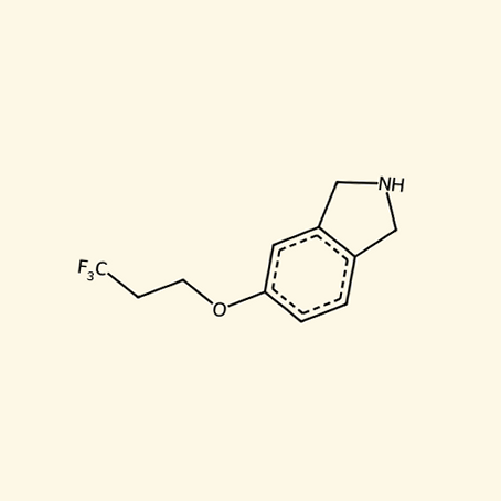 FC(F)(F)CCOc1ccc2c(c1)CNC2